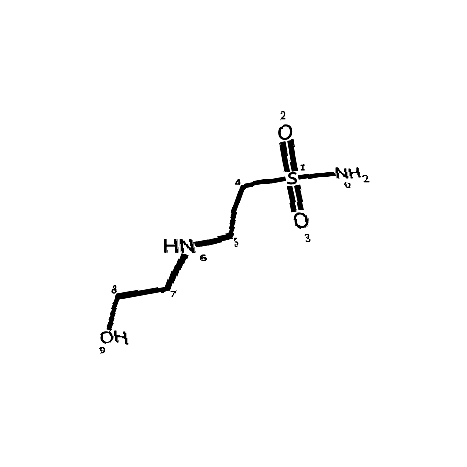 NS(=O)(=O)CCNCCO